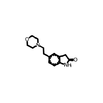 O=C1Cc2cc(CCN3CCOCC3)ccc2N1